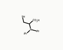 CC(C)N(C(C)C)C(CS)C(=O)O